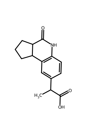 CC(C(=O)O)c1ccc2c(c1)C1CCCC1C(=O)N2